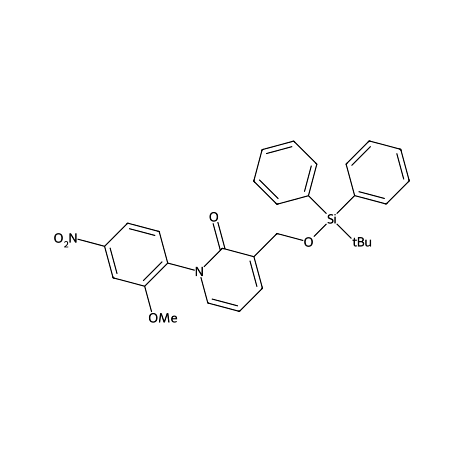 COc1cc([N+](=O)[O-])ccc1-n1cccc(CO[Si](c2ccccc2)(c2ccccc2)C(C)(C)C)c1=O